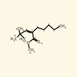 CCCCCC(=CC(C)(C)C)C(=O)OC